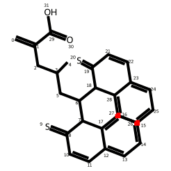 C=C(CC(C)CC(C1C(=S)C=Cc2ccccc21)C1C(=S)C=Cc2ccccc21)C(=O)O